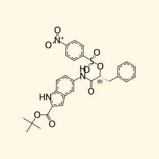 CC(C)(C)OC(=O)c1cc2cc(NC(=O)[C@@H](Cc3ccccc3)OS(=O)(=O)c3ccc([N+](=O)[O-])cc3)ccc2[nH]1